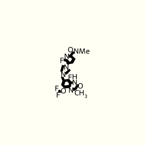 CNC(=O)c1ccc(N2CCN(Cc3cc(OC(F)F)c4nc(C)c(=O)[nH]c4c3F)CC2)c(F)n1